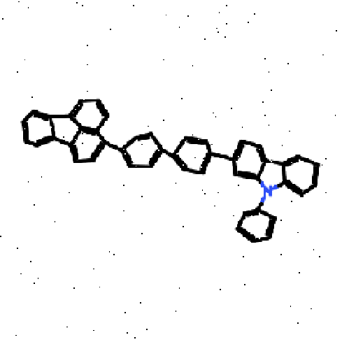 c1ccc(-n2c3ccccc3c3ccc(-c4ccc(-c5ccc(-c6ccc7c8c(cccc68)-c6ccccc6-7)cc5)cc4)cc32)cc1